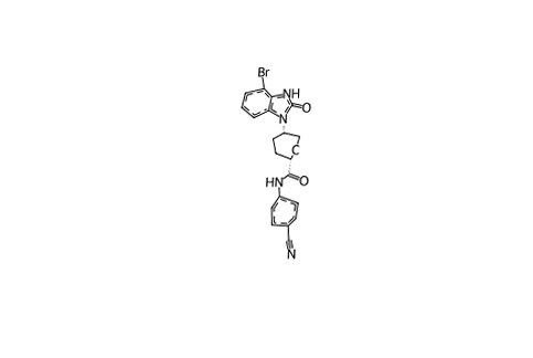 N#Cc1ccc(NC(=O)[C@H]2CC[C@@H](n3c(=O)[nH]c4c(Br)cccc43)CC2)cc1